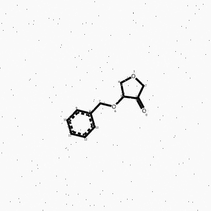 O=C1COCC1OCc1ccccc1